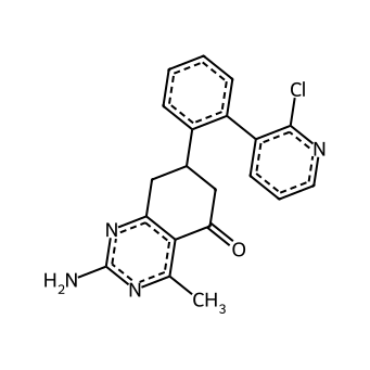 Cc1nc(N)nc2c1C(=O)CC(c1ccccc1-c1cccnc1Cl)C2